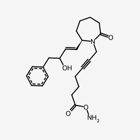 NOC(=O)CCCC#CCN1C(=O)CCCC[C@@H]1/C=C/C(O)Cc1ccccc1